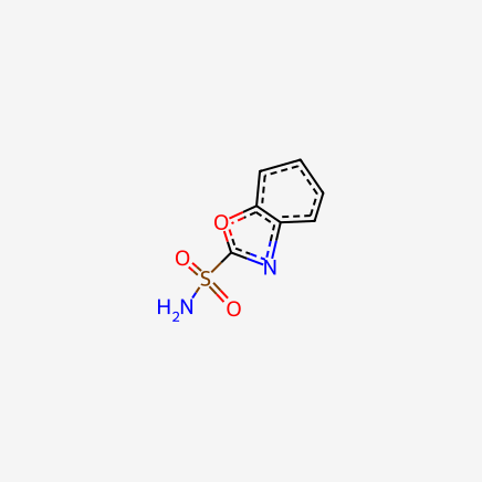 NS(=O)(=O)c1nc2ccccc2o1